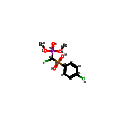 CCOP(=O)(OCC)C(F)S(=O)(=O)c1ccc(Cl)cc1